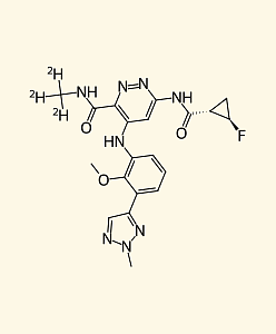 [2H]C([2H])([2H])NC(=O)c1nnc(NC(=O)[C@@H]2C[C@H]2F)cc1Nc1cccc(-c2cnn(C)n2)c1OC